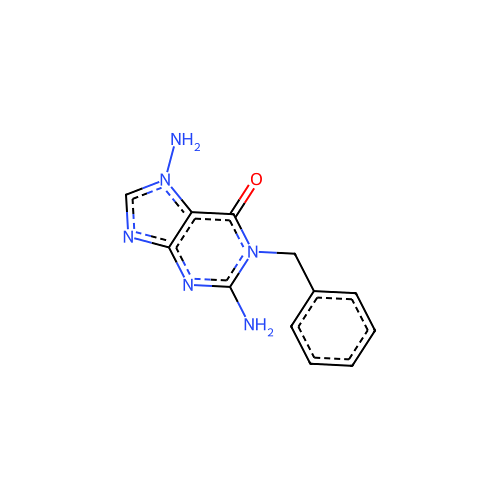 Nc1nc2ncn(N)c2c(=O)n1Cc1ccccc1